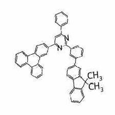 CC1(C)c2ccccc2-c2ccc(-c3cccc(-c4nc(-c5ccccc5)cc(-c5ccc6c7ccccc7c7ccccc7c6c5)n4)c3)cc21